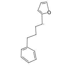 [CH](CCCc1ccccc1)c1ccco1